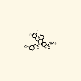 CNC(=O)c1cc(-c2cccnc2[C@H](Cc2cc(F)cc(F)c2)NC(=O)Cc2cccc(Cl)c2)ccc1F